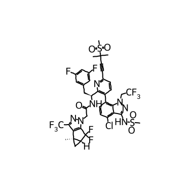 CC(C)(C#Cc1ccc(-c2ccc(Cl)c3c(NS(C)(=O)=O)nn(CC(F)(F)F)c23)c([C@H](Cc2cc(F)cc(F)c2)NC(=O)Cn2nc(C(F)(F)F)c3c2C(F)(F)[C@@H]2C[C@@]32C)n1)S(C)(=O)=O